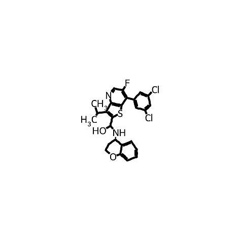 CC(C)c1c(C(O)N[C@H]2CCOc3ccccc32)sc2c(-c3cc(Cl)cc(Cl)c3)c(F)cnc12